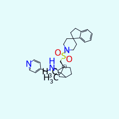 CC1(C)C2CC[C@@]1(CS(=O)(=O)N1CCC3(CCc4ccccc43)CC1)C(NCc1ccncc1)C2